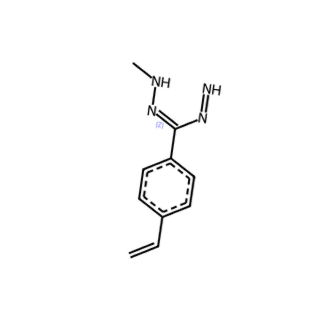 C=Cc1ccc(/C(N=N)=N/NC)cc1